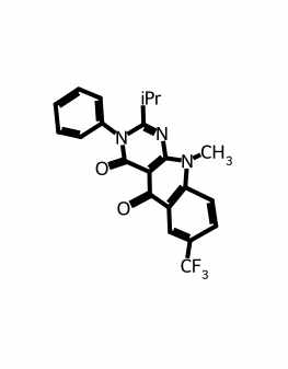 CC(C)c1nc2c(c(=O)c3cc(C(F)(F)F)ccc3n2C)c(=O)n1-c1ccccc1